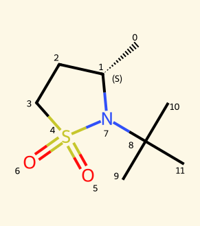 C[C@H]1CCS(=O)(=O)N1C(C)(C)C